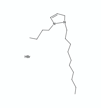 Br.CCCCCCCCCCN1CC=CN1CCCC